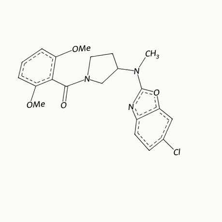 COc1cccc(OC)c1C(=O)N1CCC(N(C)c2nc3ccc(Cl)cc3o2)C1